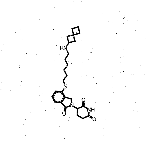 O=C1CCC(N2Cc3c(SCCCCCCNC4CC5(CCC5)C4)cccc3C2=O)C(=O)N1